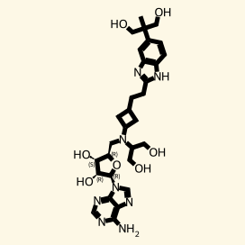 CC(CO)(CO)c1ccc2[nH]c(CCC3CC(N(C[C@H]4O[C@@H](n5cnc6c(N)ncnc65)[C@H](O)[C@@H]4O)C(CO)CO)C3)nc2c1